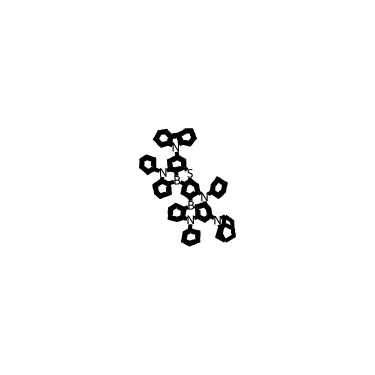 c1ccc(N2c3ccccc3B3c4cc5c(cc4Sc4cc(-n6c7ccccc7c7ccccc76)cc2c43)N(c2ccccc2)c2cc(N3C4CC6CC(C4)CC3C6)cc3c2B5c2ccccc2N3c2ccccc2)cc1